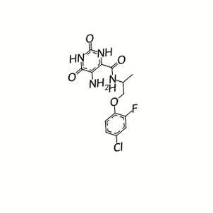 CC(COc1ccc(Cl)cc1F)NC(=O)c1[nH]c(=O)[nH]c(=O)c1N